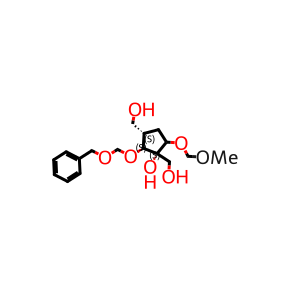 COCOC1C[C@@H](CO)[C@H](OCOCc2ccccc2)[C@]1(O)CO